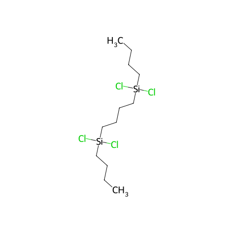 CCCC[Si](Cl)(Cl)CCCC[Si](Cl)(Cl)CCCC